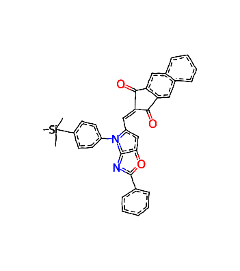 C[Si](C)(C)c1ccc(-n2c(C=C3C(=O)c4cc5ccccc5cc4C3=O)cc3oc(-c4ccccc4)nc32)cc1